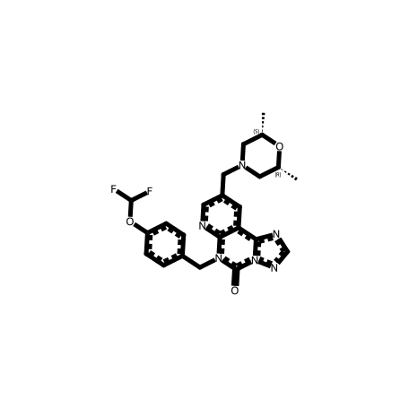 C[C@@H]1CN(Cc2cnc3c(c2)c2ncnn2c(=O)n3Cc2ccc(OC(F)F)cc2)C[C@H](C)O1